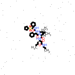 C=CCNC(=O)C(=O)[C@H](CCCC)NC(=O)[C@@H]1[C@@H]2[C@H](CN1C(=O)[C@@H](NC(=O)NC1(CS(=O)(=O)C3CCCC3)CCCCC1)C1CCCCC1)C2(C)C